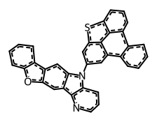 c1ccc2c(c1)oc1cc3c4ncccc4n(-c4cc5sc6cccc7c8ccccc8c(c4)c5c67)c3cc12